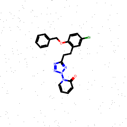 O=c1ccccn1-n1nnc(CCc2cc(Br)ccc2OCc2ccccc2)n1